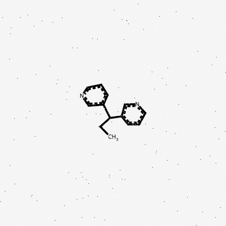 C[CH]C(c1cccnc1)c1cccnc1